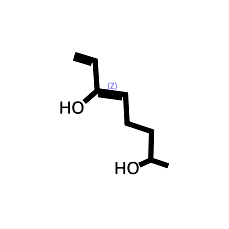 C=C/C(O)=C/CCC(C)O